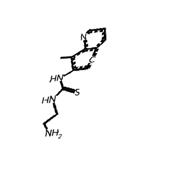 Cc1c(NC(=S)NCCN)ccc2cccnc12